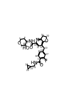 O=C(N[C@H]1CCOC[C@@H]1O)c1cc(Cc2ccc(C(=O)NCC3CC3)c(F)c2)c2c(n1)CCO2